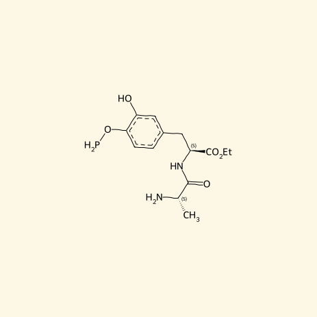 CCOC(=O)[C@H](Cc1ccc(OP)c(O)c1)NC(=O)[C@H](C)N